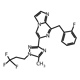 Cc1nc(-c2cn3ccnc3c(Cc3ccccc3F)n2)nn1CCC(F)(F)F